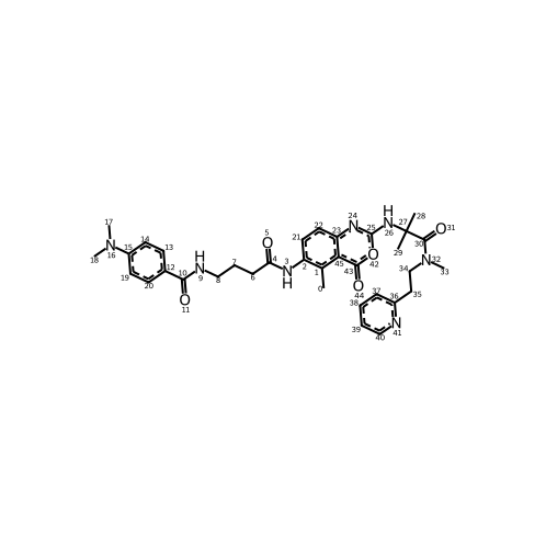 Cc1c(NC(=O)CCCNC(=O)c2ccc(N(C)C)cc2)ccc2nc(NC(C)(C)C(=O)N(C)CCc3ccccn3)oc(=O)c12